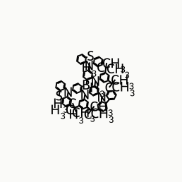 CC(C)(C)c1cc(N2c3cc(N4c5ccccc5Sc5ccccc54)ccc3B3c4ccc(N5c6ccccc6Sc6ccccc65)cc4N(c4cc(C(C)(C)C)cc(C(C)(C)C)c4)c4cc(-n5c6ccccc6c6ccccc65)cc2c43)cc(C(C)(C)C)c1